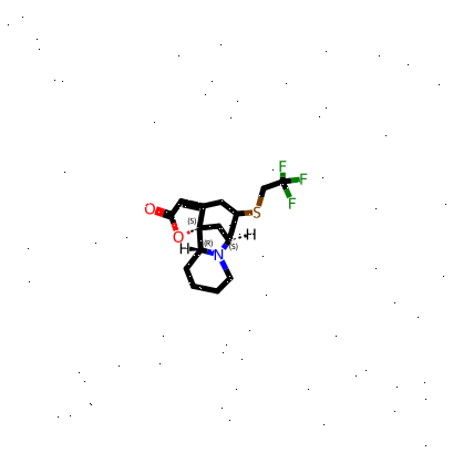 O=C1C=C2CC(SCC(F)(F)F)[C@@H]3C[C@@]2(O1)[C@H]1CCCCN31